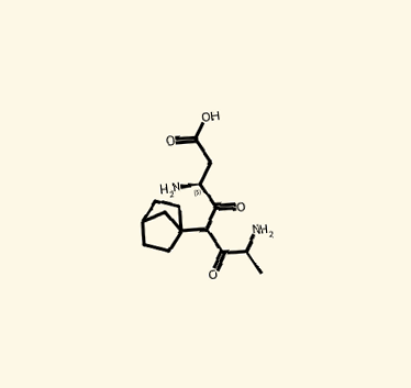 CC(N)C(=O)C(C(=O)[C@@H](N)CC(=O)O)C12CCC(CC1)C2